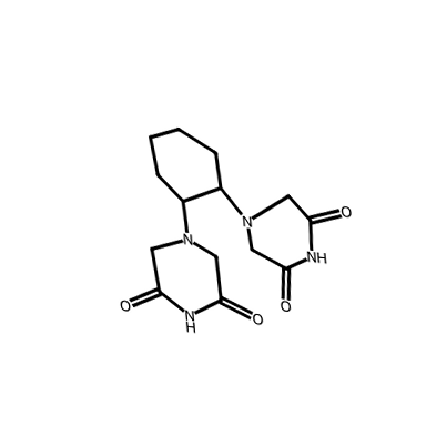 O=C1CN(C2CCCCC2N2CC(=O)NC(=O)C2)CC(=O)N1